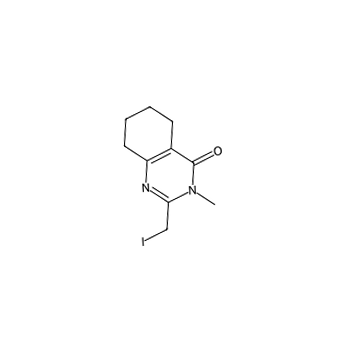 Cn1c(CI)nc2c(c1=O)CCCC2